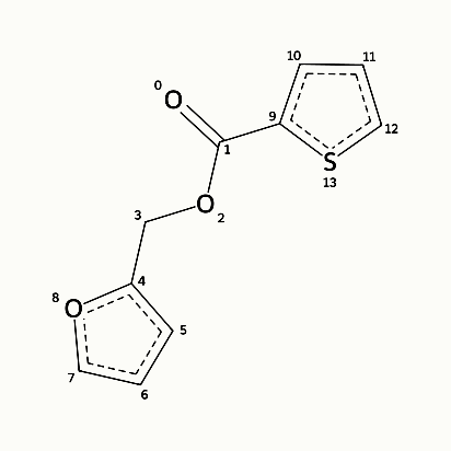 O=C(OCc1ccco1)c1cccs1